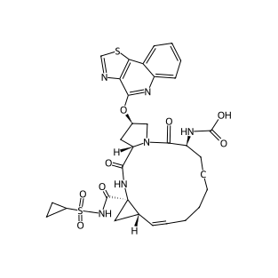 O=C(O)N[C@H]1CCCCC/C=C\[C@@H]2C[C@@]2(C(=O)NS(=O)(=O)C2CC2)NC(=O)[C@@H]2C[C@@H](Oc3nc4ccccc4c4scnc34)CN2C1=O